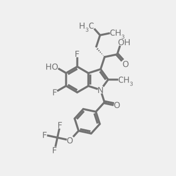 Cc1c([C@H](CC(C)C)C(=O)O)c2c(F)c(O)c(F)cc2n1C(=O)c1ccc(OC(F)(F)F)cc1